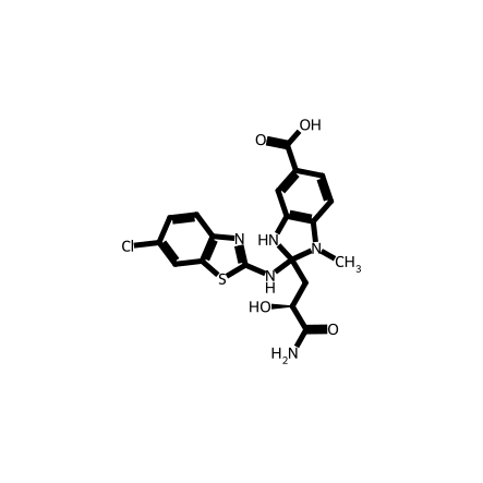 CN1c2ccc(C(=O)O)cc2NC1(C[C@H](O)C(N)=O)Nc1nc2ccc(Cl)cc2s1